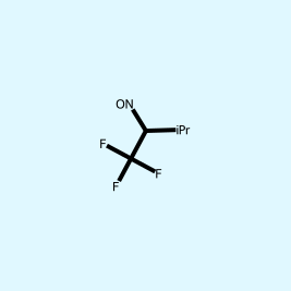 CC(C)C(N=O)C(F)(F)F